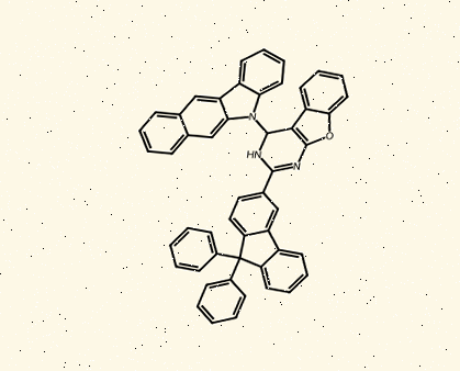 c1ccc(C2(c3ccccc3)c3ccccc3-c3cc(C4=Nc5oc6ccccc6c5C(n5c6ccccc6c6cc7ccccc7cc65)N4)ccc32)cc1